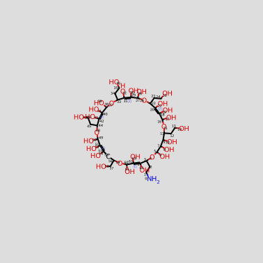 NCCC1OC(O)C(O)C(O)C(CCO)OC(O)/C(O)=C(/O)C(CCO)OC(O)/C(O)=C(/O)C(CCO)OC(O)/C(O)=C(/O)C(CCO)OC(O)/C(O)=C(/O)CC(CO)OC(O)/C(O)=C/1O